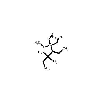 CCC(C(N)(N)CN)[Si](OC)(OC)OC